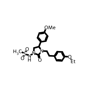 CCOc1ccc(CCN2C(=O)N(NS(C)(=O)=O)CC2c2ccc(OC)cc2)cc1